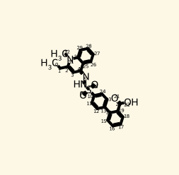 CCc1cc(=NNS(=O)(=O)c2ccc(-c3ccccc3C(=O)O)cc2)c2ccccc2n1C